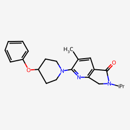 Cc1cc2c(nc1N1CCC(Oc3ccccc3)CC1)CN(C(C)C)C2=O